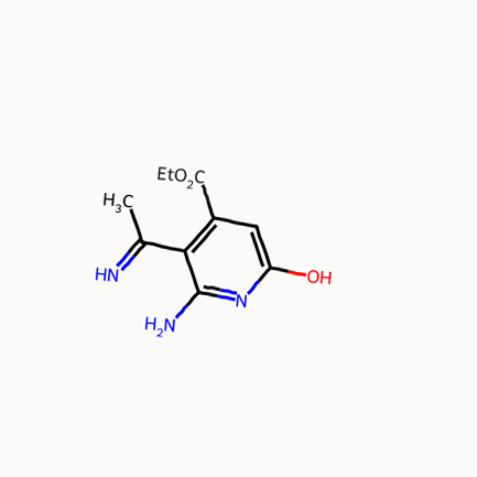 CCOC(=O)c1cc(O)nc(N)c1C(C)=N